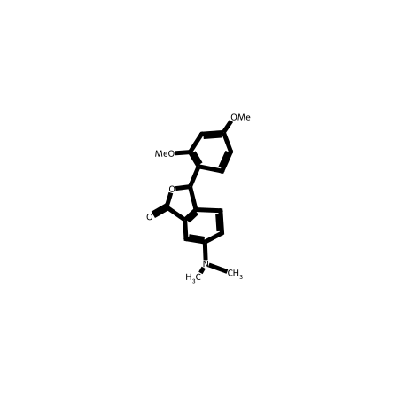 COc1ccc(C2OC(=O)c3cc(N(C)C)ccc32)c(OC)c1